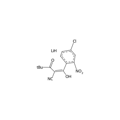 CC(C)(C)C(=O)C(C#N)=C(O)c1ccc(Cl)cc1[N+](=O)[O-].[LiH]